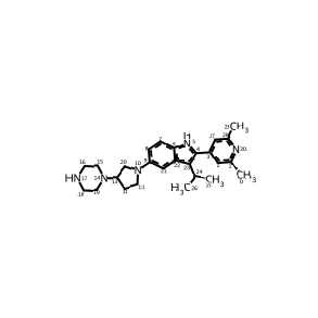 Cc1cc(-c2[nH]c3ccc(N4CCC(N5CCNCC5)C4)cc3c2C(C)C)cc(C)n1